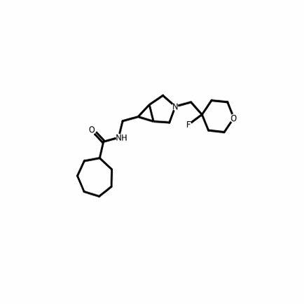 O=C(NCC1C2CN(CC3(F)CCOCC3)CC12)C1CCCCCC1